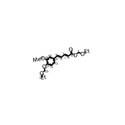 CCOCOC(=O)/C=C/C=C/c1ccc(OCOCC)c(OC)c1